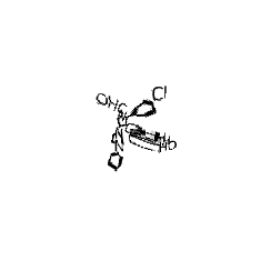 O=CN1CC(N2CCN(c3ccccc3)CC2)C(O)C1c1ccc(Cl)cc1.O=CO